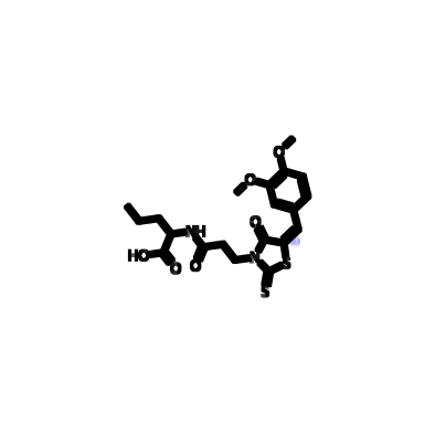 CCCC(NC(=O)CCN1C(=O)/C(=C\c2ccc(OC)c(OC)c2)SC1=S)C(=O)O